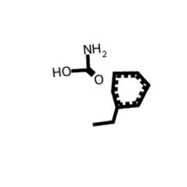 CCc1ccccc1.NC(=O)O